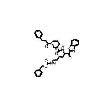 O=C(NCCCCC(NC(=O)[C@@H]1CCCN(C(=O)CCc2ccccc2)C1)C(=O)c1nc2ccccc2s1)OCc1ccccc1